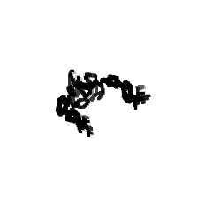 Cn1cc(N(C=O)c2ccccc2-c2ccc(C(F)(F)F)cc2)nc1C(=O)NCc1ccc(-c2ccc(C(F)(F)F)cc2)cc1